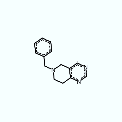 [c]1ncnc2c1CN(Cc1ccccc1)CC2